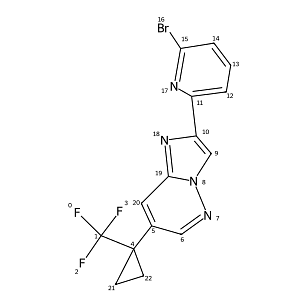 FC(F)(F)C1(c2cnn3cc(-c4cccc(Br)n4)nc3c2)CC1